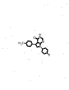 Cc1ccc(-c2cn(-c3ccc(F)cc3)c3nc[nH]c(=O)c23)cc1